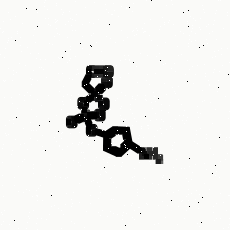 Nc1ccc(OS(=O)(=O)OS(=O)(=O)CC=O)cc1